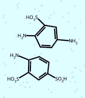 Nc1ccc(N)c(S(=O)(=O)O)c1.Nc1ccc(S(=O)(=O)O)cc1S(=O)(=O)O